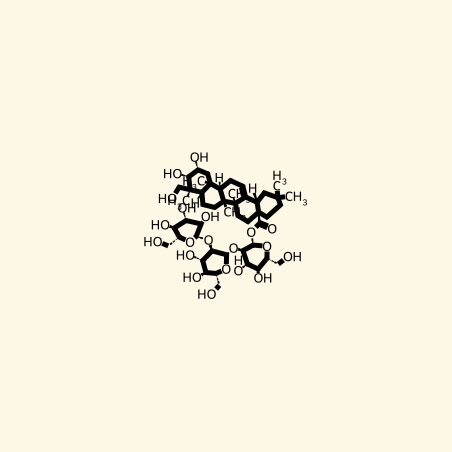 CC1(C)CC[C@]2(C(=O)O[C@@H]3O[C@H](CO)[C@@H](O)[C@H](O)[C@H]3O[C@@H]3O[C@H](CO)[C@@H](O)[C@H](O)[C@H]3O[C@@H]3O[C@H](CO)[C@@H](O)[C@H](O)[C@H]3O)CC[C@]3(C)C(=CC[C@@H]4[C@@]5(C)C[C@@H](O)[C@@H](O)[C@](C)(CO)[C@@H]5CC[C@]43C)[C@@H]2C1